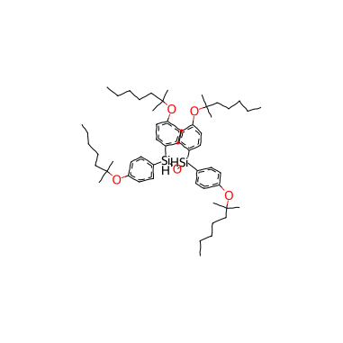 CCCCCC(C)(C)Oc1ccc([SiH](O[SiH](c2ccc(OC(C)(C)CCCCC)cc2)c2ccc(OC(C)(C)CCCCC)cc2)c2ccc(OC(C)(C)CCCCC)cc2)cc1